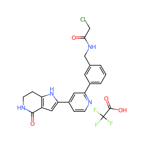 O=C(CCl)NCc1cccc(-c2cc(-c3cc4c([nH]3)CCNC4=O)ccn2)c1.O=C(O)C(F)(F)F